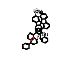 CC(C)(C)c1ccc2c(c1)C1(c3cc(C(C)(C)C)ccc3-2)c2cc(C(C)(C)C)ccc2-c2cccc(-c3ccc(-c4ccccc4)c(N(c4ccccc4)c4ccc(-c5ccccc5)cc4)c3)c21